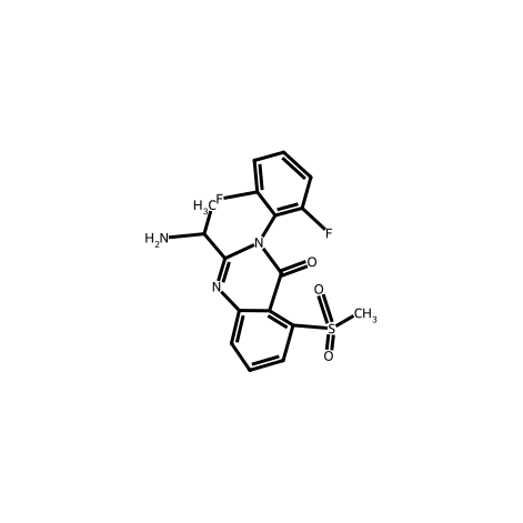 CC(N)c1nc2cccc(S(C)(=O)=O)c2c(=O)n1-c1c(F)cccc1F